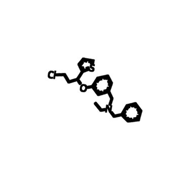 CCN(Cc1ccccc1)Cc1cccc(OC(CCCl)c2cccs2)c1